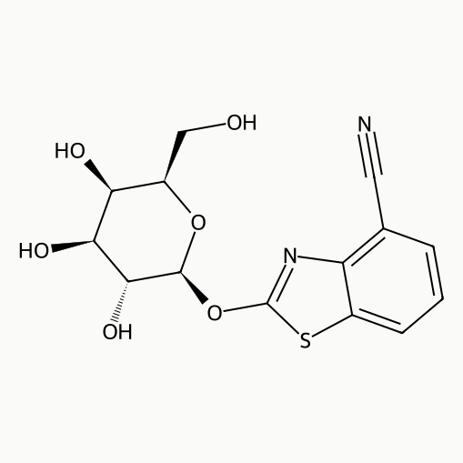 N#Cc1cccc2sc(O[C@@H]3O[C@H](CO)[C@H](O)[C@H](O)[C@H]3O)nc12